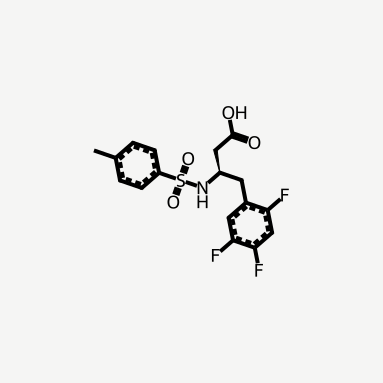 Cc1ccc(S(=O)(=O)N[C@@H](CC(=O)O)Cc2cc(F)c(F)cc2F)cc1